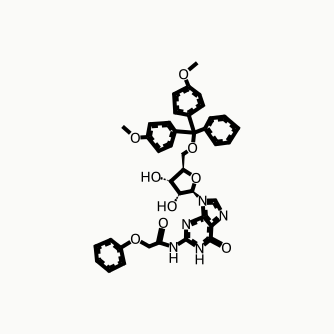 COc1ccc(C(OC[C@H]2O[C@@H](n3cnc4c(=O)[nH]c(NC(=O)COc5ccccc5)nc43)[C@H](O)[C@@H]2O)(c2ccccc2)c2ccc(OC)cc2)cc1